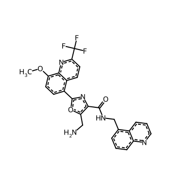 COc1ccc(-c2nc(C(=O)NCc3cccc4ncccc34)c(CN)o2)c2ccc(C(F)(F)F)nc12